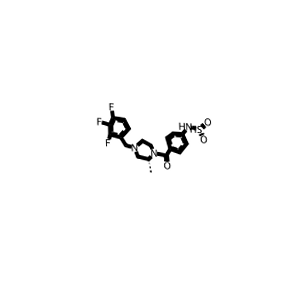 C[C@@H]1CN(Cc2ccc(F)c(F)c2F)CCN1C(=O)c1ccc(N[SH](=O)=O)cc1